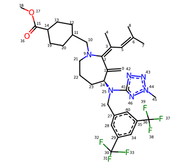 C=C1/C(=C(/C)C=C(C)C)N(CC2CCC(C(=O)OC)CC2)CCC[C@@H]1N(Cc1cc(C(F)(F)F)cc(C(F)(F)F)c1)c1nnn(C)n1